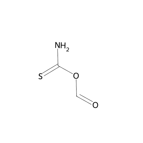 NC(=S)OC=O